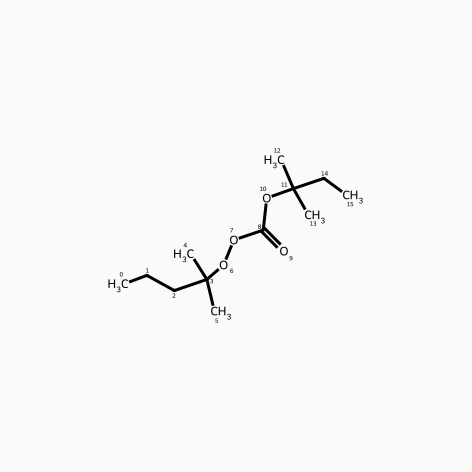 CCCC(C)(C)OOC(=O)OC(C)(C)CC